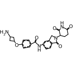 NC1CC(Oc2ccc(C(=O)Nc3ccc4c(c3)CN(C3CCC(=O)NC3=O)C4=O)cc2)C1